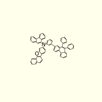 c1ccc(-c2c(-c3ccccc3)c3cc(-c4cccc(N(c5ccc6c(c5)oc5c7ccccc7ccc65)c5cc6ccccc6c6ccccc56)c4)ccc3c3ccccc23)cc1